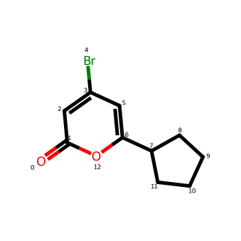 O=c1cc(Br)cc(C2CCCC2)o1